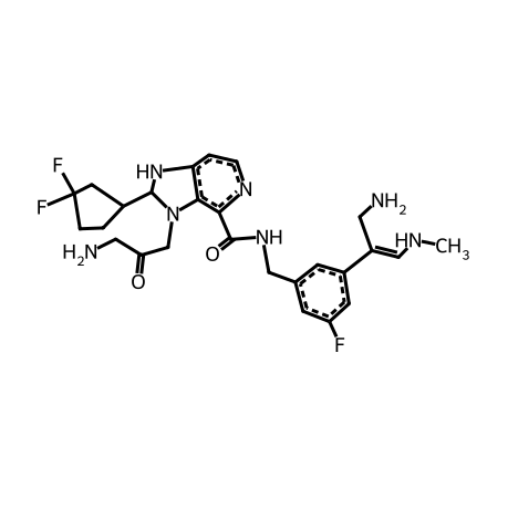 CN/C=C(\CN)c1cc(F)cc(CNC(=O)c2nccc3c2N(CC(=O)CN)C(C2CCC(F)(F)C2)N3)c1